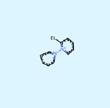 CCc1cccc[n+]1-[n+]1ccccc1